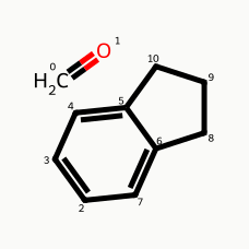 C=O.c1ccc2c(c1)CCC2